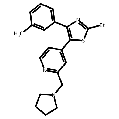 CCc1nc(-c2cccc(C)c2)c(-c2ccnc(CN3CCCC3)c2)s1